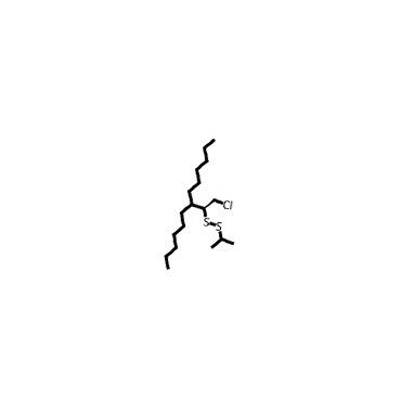 CCCCCCC(CCCCCC)[C@@H](CCl)SSC(C)C